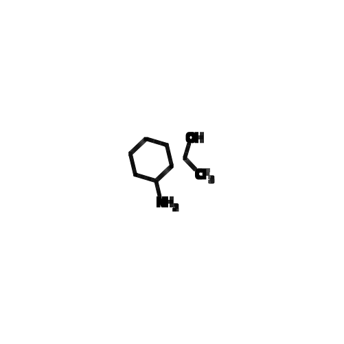 NC1CCCCC1.OCC(F)(F)F